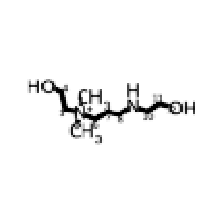 C[N+](C)(CCO)CCCNCCO